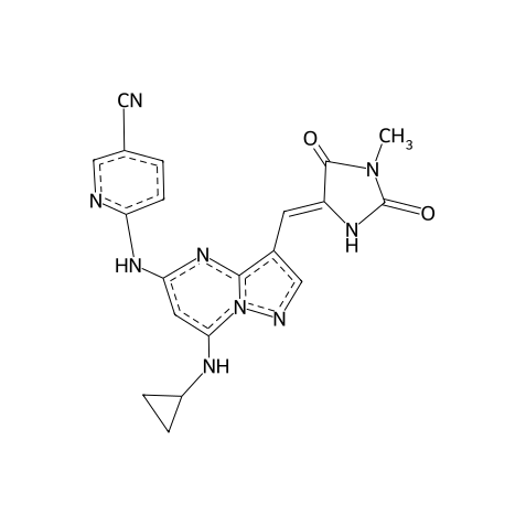 CN1C(=O)N/C(=C\c2cnn3c(NC4CC4)cc(Nc4ccc(C#N)cn4)nc23)C1=O